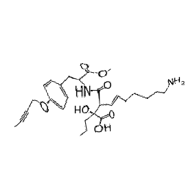 CC#CCOc1ccc(C[C@H](NC(=O)[C@@H](/C=C/CCCCCN)[C@@](O)(CCC)C(=O)O)C(=O)OC)cc1